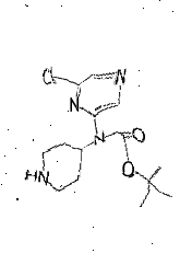 CC(C)(C)OC(=O)N(c1cncc(Cl)n1)C1CCNCC1